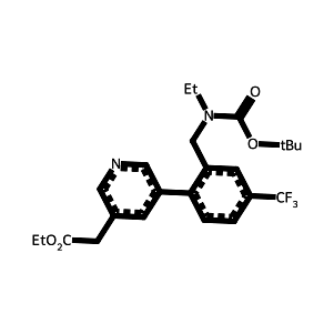 CCOC(=O)Cc1cncc(-c2ccc(C(F)(F)F)cc2CN(CC)C(=O)OC(C)(C)C)c1